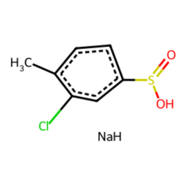 Cc1ccc(S(=O)O)cc1Cl.[NaH]